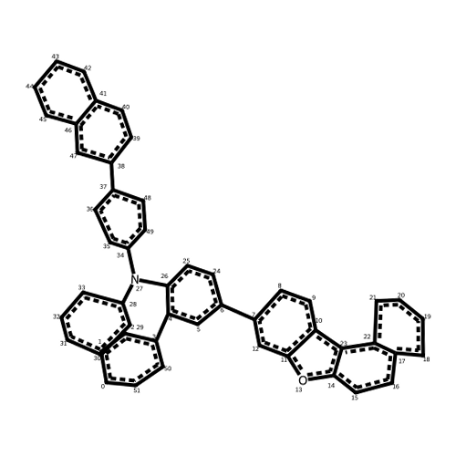 c1ccc(-c2cc(-c3ccc4c(c3)oc3ccc5ccccc5c34)ccc2N(c2ccccc2)c2ccc(-c3ccc4ccccc4c3)cc2)cc1